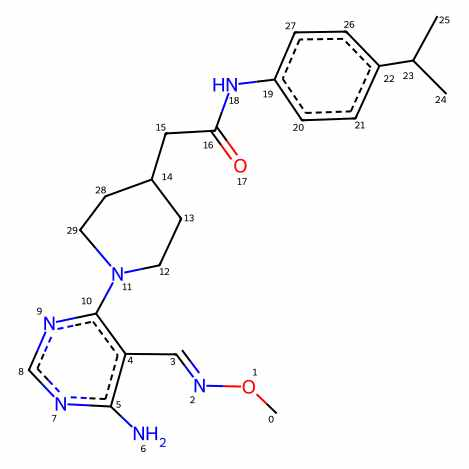 CON=Cc1c(N)ncnc1N1CCC(CC(=O)Nc2ccc(C(C)C)cc2)CC1